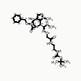 CN/C(=N\OCC(=O)NCCNC(=O)OC(C)(C)C)[C@@H]1c2c(cnn2C)[C@H]2CN1C(=O)N2OCc1ccccc1